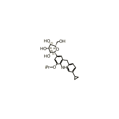 CC(C)Oc1cc([C@@H]2O[C@H](CO)[C@@H](O)[C@H](O)[C@H]2O)cc(Cc2ccc(C3CC3)cc2)c1N